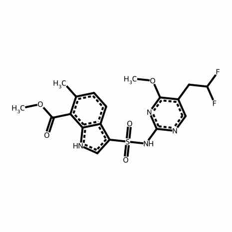 COC(=O)c1c(C)ccc2c(S(=O)(=O)Nc3ncc(CC(F)F)c(OC)n3)c[nH]c12